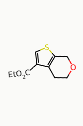 CCOC(=O)c1csc2c1CCOC2